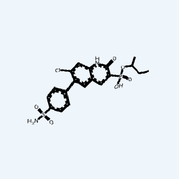 CCC(C)OP(=O)(O)c1cc2cc(-c3ccc(S(N)(=O)=O)cc3)c(Cl)cc2[nH]c1=O